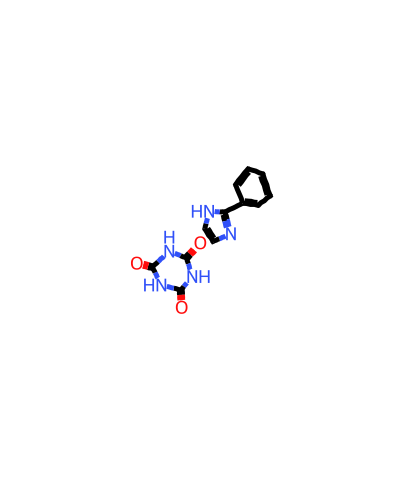 O=c1[nH]c(=O)[nH]c(=O)[nH]1.c1ccc(-c2ncc[nH]2)cc1